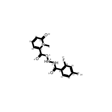 Cn1c(C(=O)ONNC(=O)c2ccc(F)cc2F)cccc1=O